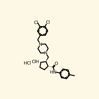 Cc1ccc(NC(=O)[C@@H]2CCC[C@H]2CN2CCN(Cc3ccc(Cl)c(Cl)c3)CC2)cc1.Cl.Cl